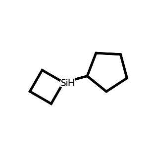 C1CCC([SiH]2CCC2)C1